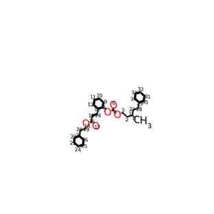 CC(CCOC(=O)Oc1ccccc1C=CC(=O)OCCc1ccccc1)CCc1ccccc1